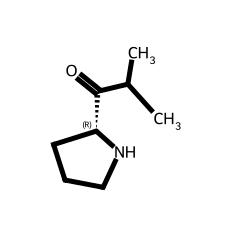 CC(C)C(=O)[C@H]1CCCN1